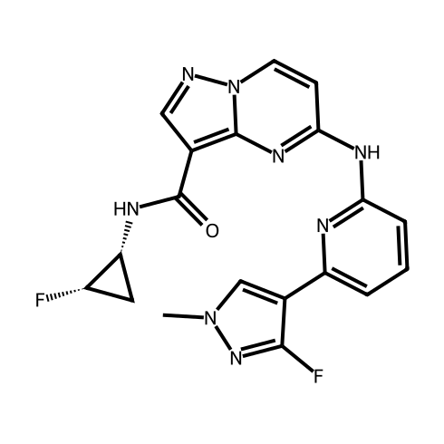 Cn1cc(-c2cccc(Nc3ccn4ncc(C(=O)N[C@@H]5C[C@@H]5F)c4n3)n2)c(F)n1